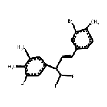 Cc1ccc(/C=C/C(c2cc(C)c(C)c(Cl)c2)C(F)F)cc1Br